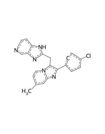 Cc1ccn2c(Cc3nc4cnccc4[nH]3)c(-c3ccc(Cl)cc3)nc2c1